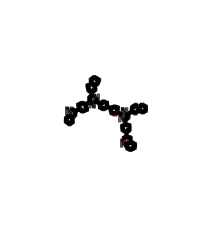 c1ccc2cc(-c3cc(-c4ccc(-c5cnc6ccccc6c5)cc4)nc(-c4ccc(-c5ccc(-c6nc(-c7ccc(-c8cnc9ccccc9c8)cc7)cc(-c7ccc8ccccc8c7)n6)cc5)cc4)n3)ccc2c1